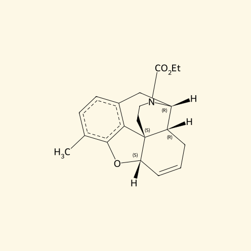 CCOC(=O)N1CC[C@]23c4c5ccc(C)c4O[C@H]2C=CC[C@H]3[C@H]1C5